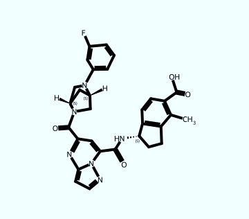 Cc1c(C(=O)O)ccc2c1CC[C@@H]2NC(=O)c1cc(C(=O)N2C[C@@H]3C[C@H]2CN3c2cccc(F)c2)nc2ccnn12